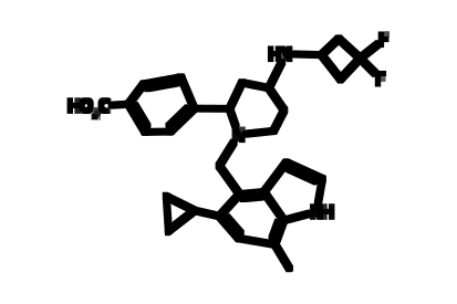 Cc1cc(C2CC2)c(CN2CCC(NC3CC(F)(F)C3)CC2c2ccc(C(=O)O)cc2)c2cc[nH]c12